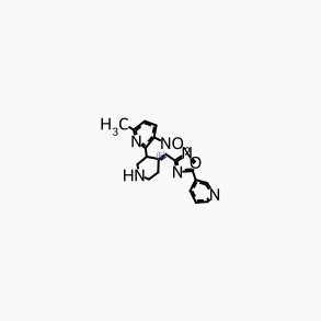 Cc1ccc([N+](=O)[O-])c(C2CNCC/C2=C\c2noc(-c3cccnc3)n2)n1